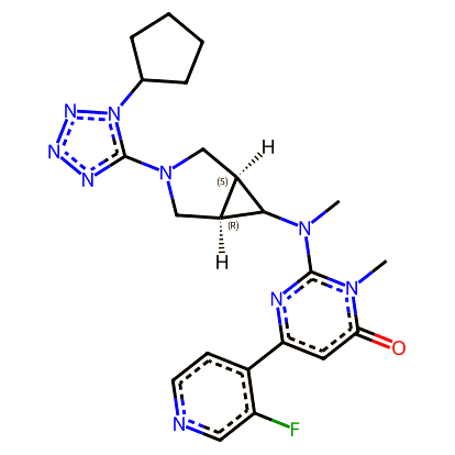 CN(c1nc(-c2ccncc2F)cc(=O)n1C)C1[C@H]2CN(c3nnnn3C3CCCC3)C[C@@H]12